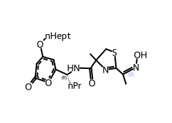 CCCCCCCOc1cc([C@@H](CCC)NC(=O)C2(C)CSC(/C(C)=N\O)=N2)oc(=O)c1